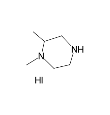 CC1CNCCN1C.I